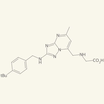 Cc1cc(CNCC(=O)O)n2nc(NCc3ccc(C(C)(C)C)cc3)nc2n1